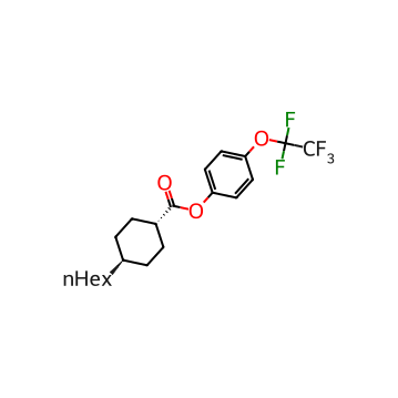 CCCCCC[C@H]1CC[C@H](C(=O)Oc2ccc(OC(F)(F)C(F)(F)F)cc2)CC1